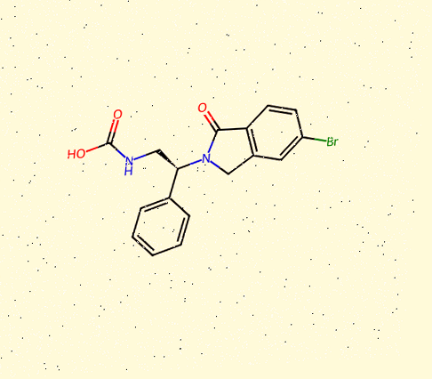 O=C(O)NC[C@H](c1ccccc1)N1Cc2cc(Br)ccc2C1=O